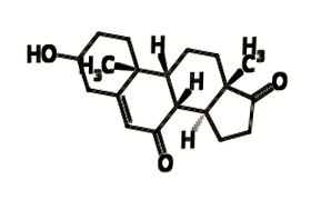 C[C@]12CCC(O)CC1=CC(=O)[C@@H]1[C@H]2CC[C@]2(C)C(=O)CC[C@@H]12